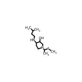 CSC(C)N1CCC(NCCC(C)C)C(O)C1